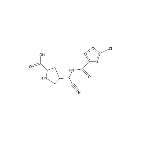 N#CC(NC(=O)c1ccc(Cl)s1)C1CNC(C(=O)O)C1